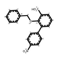 O=C(O)c1cccc(-c2ccc([N+](=O)[O-])cc2)c1OCc1ccccc1